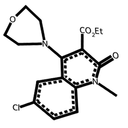 CCOC(=O)c1c(N2CCOCC2)c2cc(Cl)ccc2n(C)c1=O